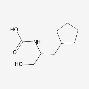 O=C(O)NC(CO)CC1CCCC1